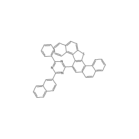 c1ccc(-c2nc(-c3ccc4ccccc4c3)nc(-c3cc4ccc5ccccc5c4c4sc5ccc6ccccc6c5c34)n2)cc1